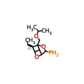 C/C=C1/C2OC3C(P)OC1(COC(C)C)C23